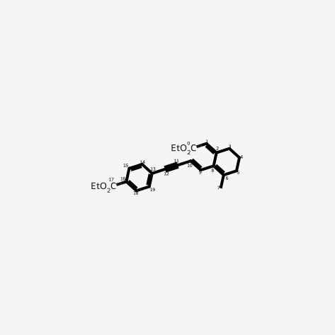 CCOC(=O)/C=C1/CCCC(C)=C1/C=C/C#Cc1ccc(C(=O)OCC)cc1